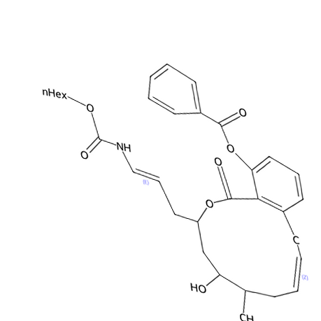 CCCCCCOC(=O)N/C=C/CC1CC(O)C(C)C/C=C\Cc2cccc(OC(=O)c3ccccc3)c2C(=O)O1